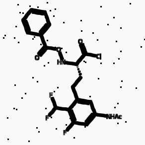 CC(=O)Nc1cc(F)c(C(F)F)c(CC[C@H](NOC(=O)c2ccccc2)C(=O)Cl)c1